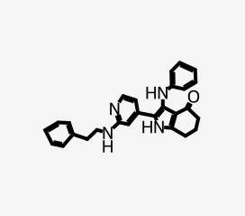 O=C1CCCc2[nH]c(-c3ccnc(NCCc4ccccc4)c3)c(Nc3ccccc3)c21